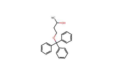 N#CC(O)CCOC(c1ccccc1)(c1ccccc1)c1ccccc1